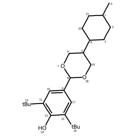 CC1CCC(C2COC(c3cc(C(C)(C)C)c(O)c(C(C)(C)C)c3)OC2)CC1